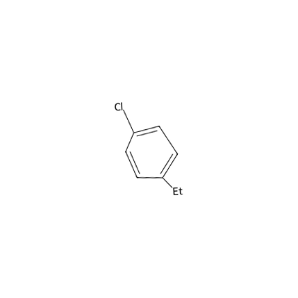 [CH]Cc1ccc(Cl)cc1